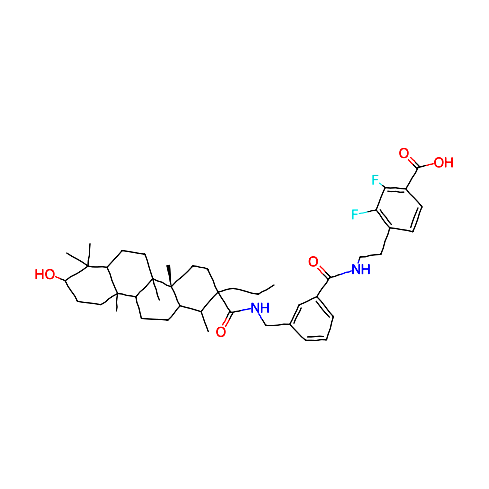 CCCC1(C(=O)NCc2cccc(C(=O)NCCc3ccc(C(=O)O)c(F)c3F)c2)CC[C@]2(C)C(CCC3C4(C)CCC(O)C(C)(C)C4CCC32C)C1C